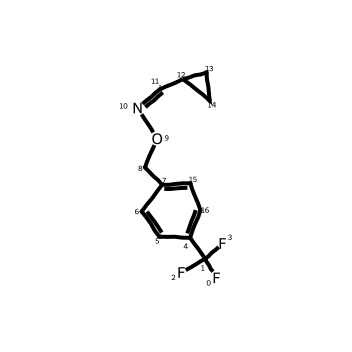 FC(F)(F)c1ccc(CO/N=[C]\C2CC2)cc1